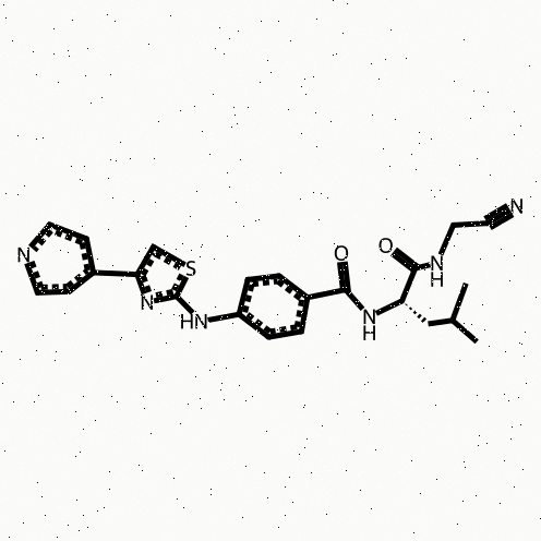 CC(C)C[C@H](NC(=O)c1ccc(Nc2nc(-c3ccncc3)cs2)cc1)C(=O)NCC#N